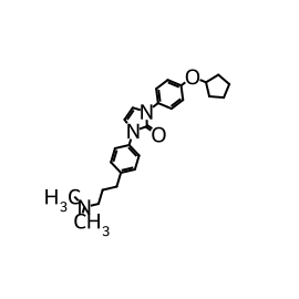 CN(C)CCCc1ccc(-n2ccn(-c3ccc(OC4CCCC4)cc3)c2=O)cc1